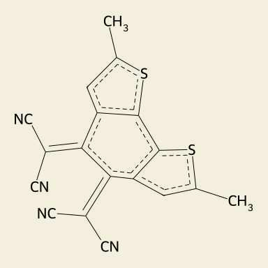 Cc1cc2c(=C(C#N)C#N)c(=C(C#N)C#N)c3cc(C)sc3c2s1